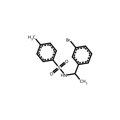 Cc1ccc(S(=O)(=O)NC(C)c2cccc(Br)c2)cc1